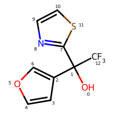 OC(c1ccoc1)(c1nccs1)C(F)(F)F